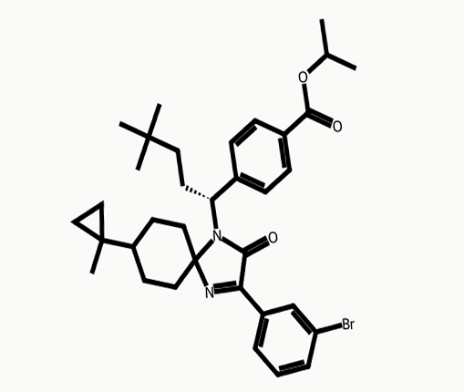 CC(C)OC(=O)c1ccc([C@@H](CCC(C)(C)C)N2C(=O)C(c3cccc(Br)c3)=NC23CCC(C2(C)CC2)CC3)cc1